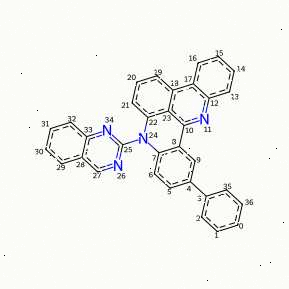 c1ccc(-c2ccc3c(c2)-c2nc4ccccc4c4cccc(c24)N3c2ncc3ccccc3n2)cc1